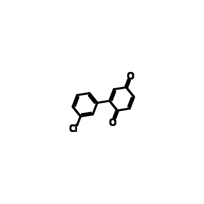 O=C1C=CC(=O)C(c2cccc(Cl)c2)=C1